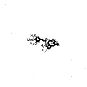 C=C1CC2CC3=C[C@@H](C/C(C)=C/[C@@H](OC(=O)/C=C/c4cc(C)c(OC)c(OC)c4)[C@@H]2C1=C)OC3=O